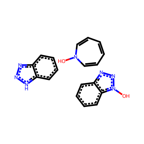 ON1C=CC=CC=C1.On1nnc2ccccc21.c1ccc2[nH]nnc2c1